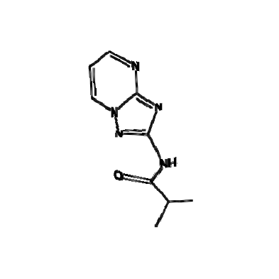 CC(C)C(=O)Nc1nc2ncccn2n1